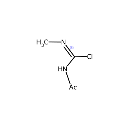 C/N=C(/Cl)NC(C)=O